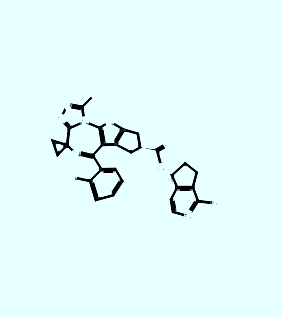 Cc1nnc2n1-c1sc3c(c1C(c1ccccc1Cl)=NC21CC1)C[C@H](C(=O)N[C@@H]1CCc2c1ccnc2N)C3